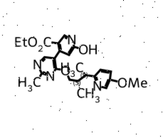 CCOC(=O)c1cnc(O)cc1-c1cnc(C)nc1OC[C@@H](C)[C@H](C)c1ccc(OC)cn1